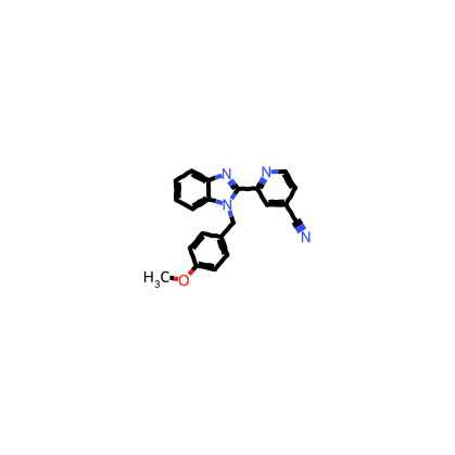 COc1ccc(Cn2c(-c3cc(C#N)ccn3)nc3ccccc32)cc1